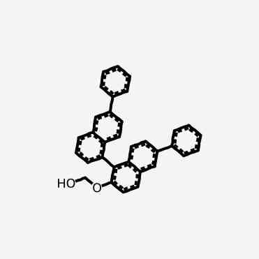 OCOc1ccc2cc(-c3ccccc3)ccc2c1-c1cccc2cc(-c3ccccc3)ccc12